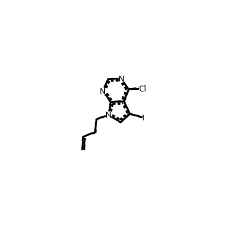 C=CCCn1cc(I)c2c(Cl)ncnc21